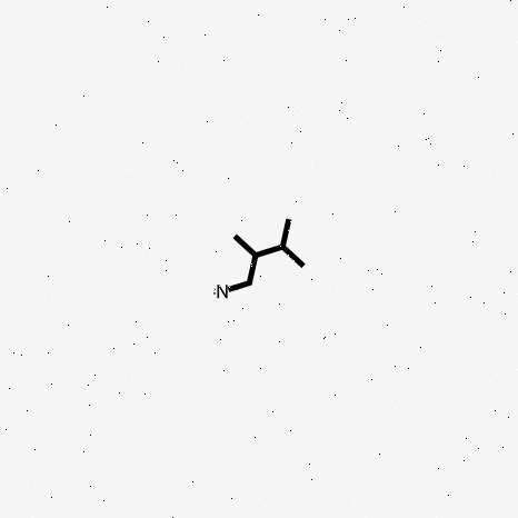 CC(C)C(C)C[N]